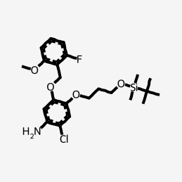 COc1cccc(F)c1COc1cc(N)c(Cl)cc1OCCCO[Si](C)(C)C(C)(C)C